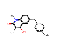 COc1ccc(Cc2ccc3c(c2)c(O)c(C(=O)O)c(=O)n3C(C)C)cc1